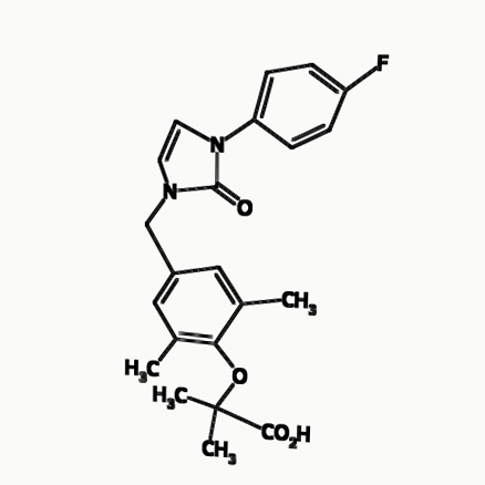 Cc1cc(Cn2ccn(-c3ccc(F)cc3)c2=O)cc(C)c1OC(C)(C)C(=O)O